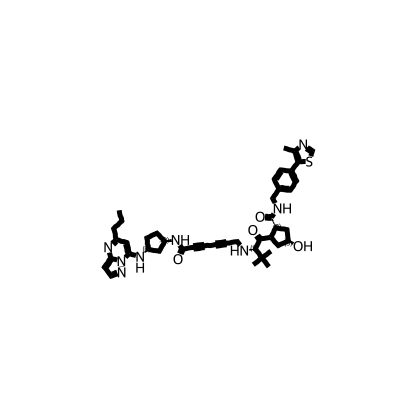 CCCc1cc(N[C@@H]2CC[C@@H](NC(=O)C#CC#CCN[C@H](C(=O)C3C[C@H](O)C[C@H]3C(=O)NCc3ccc(-c4scnc4C)cc3)C(C)(C)C)C2)n2nccc2n1